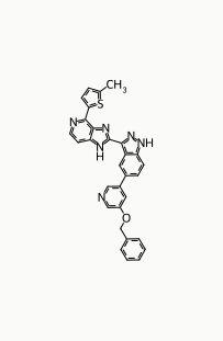 Cc1ccc(-c2nccc3[nH]c(-c4n[nH]c5ccc(-c6cncc(OCc7ccccc7)c6)cc45)nc23)s1